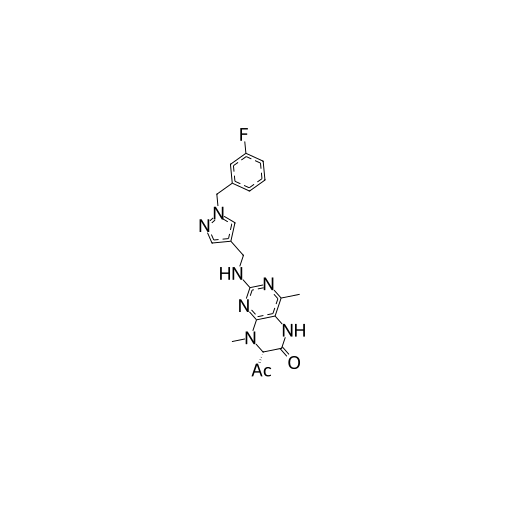 CC(=O)[C@H]1C(=O)Nc2c(C)nc(NCc3cnn(Cc4cccc(F)c4)c3)nc2N1C